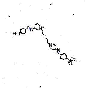 CCN(CC)c1ccc(/N=N/c2cc[n+](CCCCCC[n+]3cccc(/N=N/c4ccc(O)cc4)c3)cc2)cc1